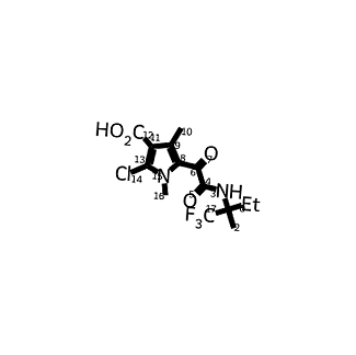 CCC(C)(NC(=O)C(=O)c1c(C)c(C(=O)O)c(Cl)n1C)C(F)(F)F